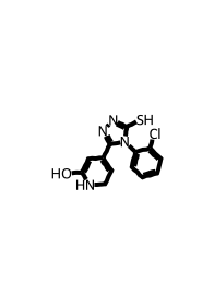 OC1=CC(c2nnc(S)n2-c2ccccc2Cl)=CCN1